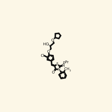 CCC/N=C1\S/C(=C\c2ccc(OC[C@H](O)COC3CCCC3)c(Cl)c2)C(=O)N1c1ccccc1C